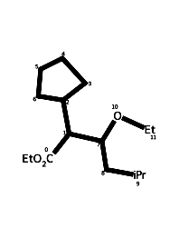 CCOC(=O)C(C1CCCC1)C(CC(C)C)OCC